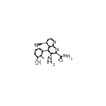 Cc1c(O)cccc1-c1c(N)c(C(N)=O)nc2nccc(C#N)c12